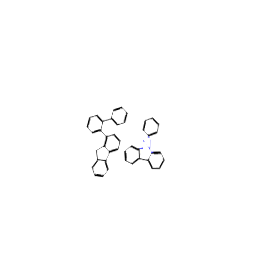 c1ccc(-c2ccccc2-c2cccc3c2Cc2ccccc2-3)cc1.c1ccc(-n2c3ccccc3c3ccccc32)cc1